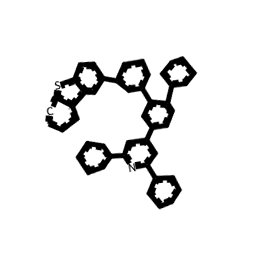 c1ccc(-c2cc(-c3ccc(-c4ccccc4)c(-c4cccc(-c5ccc6sc7ccccc7c6c5)c4)c3)cc(-c3ccccc3)n2)cc1